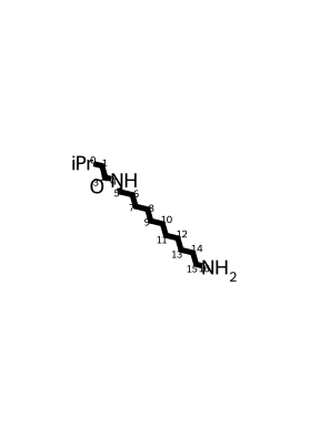 CC(C)CC(=O)NCCCCCCCCCCCN